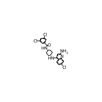 Nc1cc(N[C@H]2CC[C@@H](NC(=O)c3cc(Cl)cc(Cl)c3)CC2)c2ccc(Cl)cc2n1